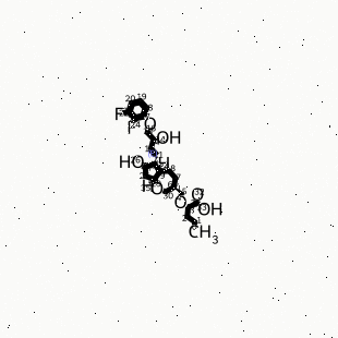 CCCC(OC[C@@H]1CC[C@@H]2[C@@H](/C=C/[C@@H](O)COc3cccc(F)c3F)[C@H](O)C[C@@H]2OC1)C(=O)O